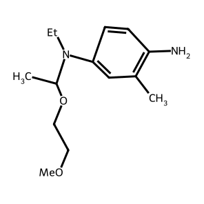 CCN(c1ccc(N)c(C)c1)C(C)OCCOC